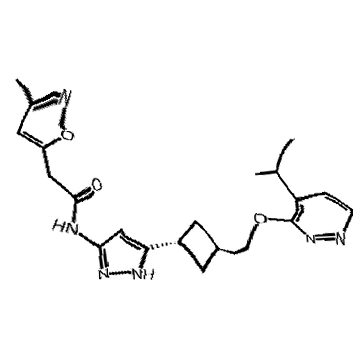 Cc1cc(CC(=O)Nc2cc([C@H]3C[C@H](COc4nnccc4C(C)C)C3)[nH]n2)on1